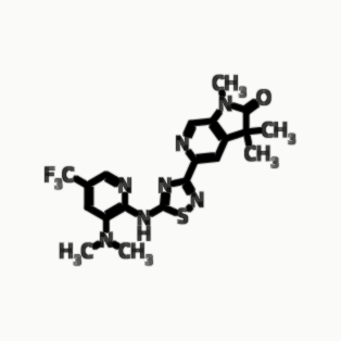 CN(C)c1cc(C(F)(F)F)cnc1Nc1nc(-c2cc3c(cn2)N(C)C(=O)C3(C)C)ns1